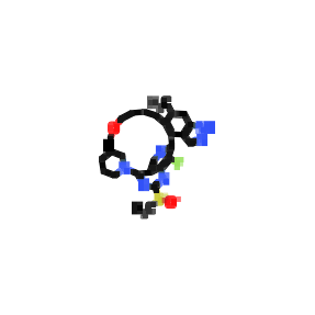 Cc1cc2[nH]ncc2c2c1CCCCOC[C@@H]1CCCN(C1)c1nc([S+](C)[O-])nc3c(F)c-2ncc13